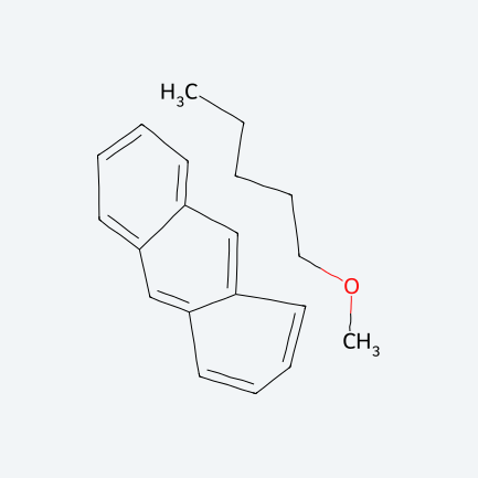 CCCCCOC.c1ccc2cc3ccccc3cc2c1